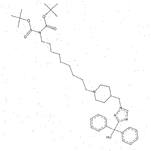 CC(C)(C)OC(=O)N(CCCCCCCCCN1CCC(Cn2cnc(C(O)(c3ccccc3)c3ccccc3)n2)CC1)C(=O)OC(C)(C)C